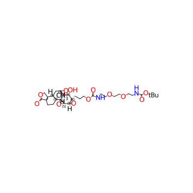 CC(C)(C)OC(=O)NCCOCCOCCNC(=O)OCCC[C@]12O[C@H]1[C@@H]1O[C@]13[C@]1(O[C@H]1C[C@H]1C4=C(CC[C@@]13C)C(=O)OC4)[C@@H]2O